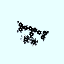 [2H]c1c([2H])c([2H])c(-c2nc(-c3ccc(-n4c5cc(-c6ccc(-n7c8ccc(F)cc8c8cc(F)ccc87)cc6)ccc5c5ccc(-c6ccc(-n7c8ccc(F)cc8c8cc(F)ccc87)cc6)cc54)cc3)nc(-c3c([2H])c([2H])c([2H])c([2H])c3[2H])n2)c([2H])c1[2H]